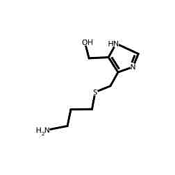 NCCCSCc1nc[nH]c1CO